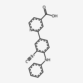 [C-]#[N+]c1cc(-c2cc(C(=O)O)ccn2)ccc1Nc1ccccc1